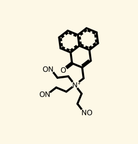 O=NCC[N+](CCN=O)(CCN=O)CC1=Cc2cccc3cccc(c23)C1=O